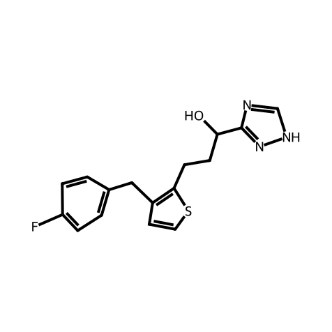 OC(CCc1sccc1Cc1ccc(F)cc1)c1nc[nH]n1